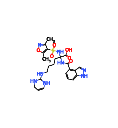 Cc1noc(C)c1S(=O)(=O)NC(CCCCNC1NC=CCN1)(NC(=O)c1cccc2[nH]ncc12)C(=O)O